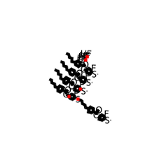 CCCCCc1ccc(C(=O)Oc2ccc([S])c(F)c2)cc1.CCCCCc1ccc(C(=O)Oc2ccc([S])c(F)c2)cc1.CCCCCc1ccc(C(=O)Oc2ccc([S])c(F)c2)cc1.CCCCCc1ccc(C(=O)Oc2ccc([S])c(F)c2)cc1.CCCCCc1ccc(C(=O)Oc2ccc([S])c(F)c2)cc1.F.F.F.F.F